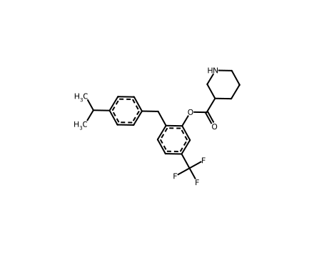 CC(C)c1ccc(Cc2ccc(C(F)(F)F)cc2OC(=O)C2CCCNC2)cc1